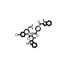 CC(c1c[nH]c2ccccc12)C(NC(=O)C1CCN(C(=O)c2cc3ccccc3n2C)CC1)C(=O)N1C[C@H](CN(C)C)Cc2cc(Cl)ccc21